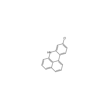 Clc1ccc2c(c1)Nc1cccc3cccc-2c13